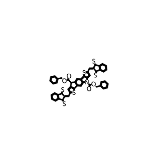 O=C(OCc1ccccc1)C1c2cc3c4sc(C=C5C(=S)c6ccccc6C5=S)cc4n(C(=O)OCc4ccccc4)c3cc2-c2sc(C=C3C(=S)c4ccccc4C3=S)cc21